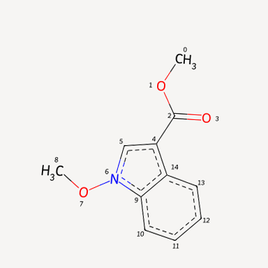 COC(=O)c1cn(OC)c2ccccc12